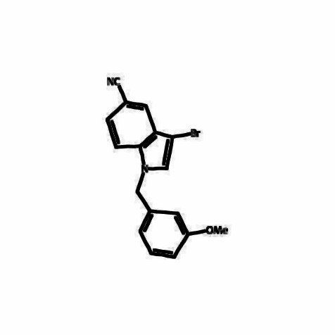 COc1cccc(Cn2cc(Br)c3cc(C#N)ccc32)c1